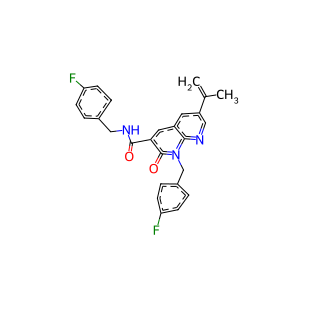 C=C(C)c1cnc2c(c1)cc(C(=O)NCc1ccc(F)cc1)c(=O)n2Cc1ccc(F)cc1